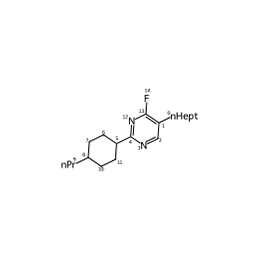 CCCCCCCc1cnc(C2CCC(CCC)CC2)nc1F